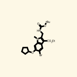 CCOC(=O)c1c(CNC(=O)OC(C)(C)C)n(C)c2cc(OC3CCCC3)c(Br)cc12